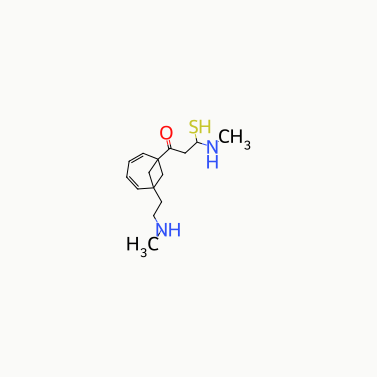 CNCCC12C=CC=CC(C(=O)CC(S)NC)(C1)C2